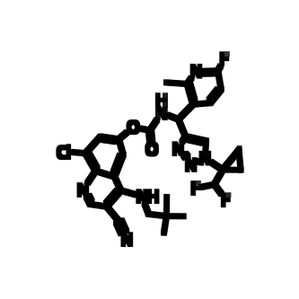 Cc1nc(F)ccc1C(NC(=O)Oc1cc(Cl)c2ncc(C#N)c(NCC(C)(C)C)c2c1)c1cn(C2(C(F)F)CC2)nn1